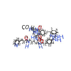 Cc1cccc2[nH]c(Nc3ccc(CC(=O)N[C@H](CCCCNC(=O)/C=C/c4cccnc4)C(=O)N[C@H](CCCC(=O)O)C(=O)NC4(C(N)=O)CCCCC4)cc3)nc12